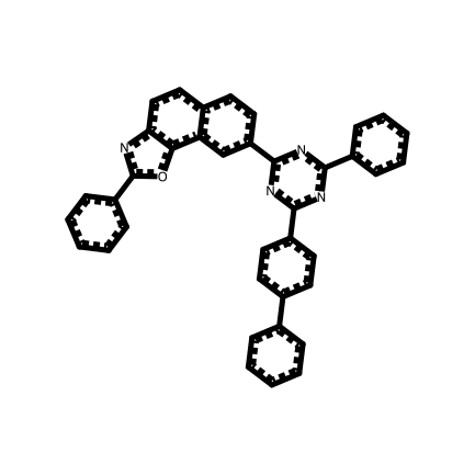 c1ccc(-c2ccc(-c3nc(-c4ccccc4)nc(-c4ccc5ccc6nc(-c7ccccc7)oc6c5c4)n3)cc2)cc1